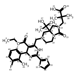 CCOC(=O)C1=C(CN2CCN3C(=O)N(CC(C)(C)C(=O)O)CC3(C(C)(C)O)C2)NC(c2nccs2)=NC1c1cccc(F)c1C